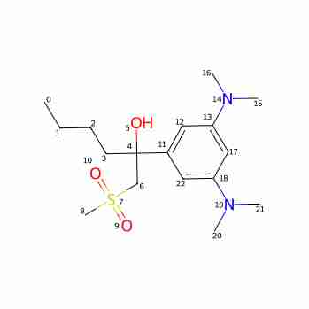 CCCCC(O)(CS(C)(=O)=O)c1cc(N(C)C)cc(N(C)C)c1